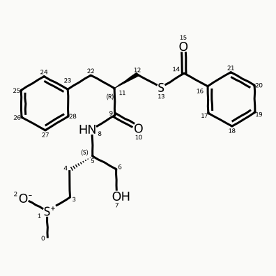 C[S+]([O-])CC[C@@H](CO)NC(=O)[C@H](CSC(=O)c1ccccc1)Cc1ccccc1